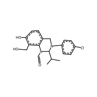 CC(C)C1N(C=O)c2c(ccc(O)c2CO)CN1c1ccc(Cl)cc1